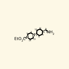 CCOC(=O)N1CCN([C@H]2CC[C@H](CN)CC2)CC1